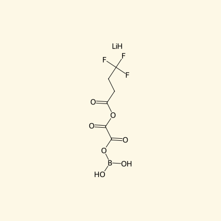 O=C(CCC(F)(F)F)OC(=O)C(=O)OB(O)O.[LiH]